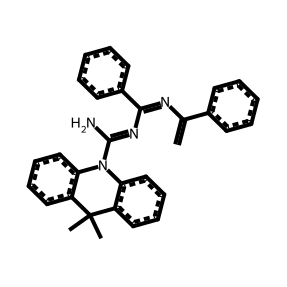 C=C(/N=C(\N=C(/N)N1c2ccccc2C(C)(C)c2ccccc21)c1ccccc1)c1ccccc1